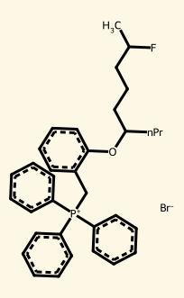 CCCC(CCCC(C)F)Oc1ccccc1C[P+](c1ccccc1)(c1ccccc1)c1ccccc1.[Br-]